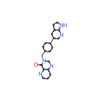 O=c1c2ncccc2ncn1Cc1ccc(-c2cnc3[nH]ccc3c2)cc1